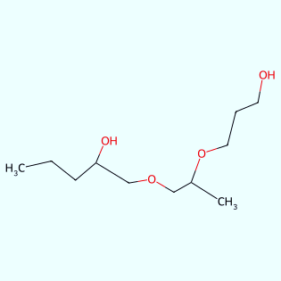 CCCC(O)COCC(C)OCCCO